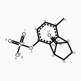 Cc1ccc(OS(=O)(=O)C(F)(F)F)c2c1C1CCC2C1=O